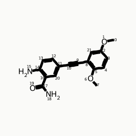 COc1ccc(OC)c(C#Cc2ccc(N)c(C(N)=O)c2)c1